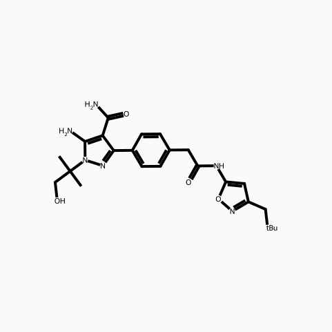 CC(C)(C)Cc1cc(NC(=O)Cc2ccc(-c3nn(C(C)(C)CO)c(N)c3C(N)=O)cc2)on1